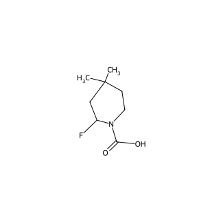 CC1(C)CCN(C(=O)O)C(F)C1